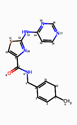 CC1C=CC(CNC(=O)c2csc(Nc3ccncn3)n2)=CC1